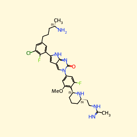 COc1cc(-n2cc3cc(-c4cc(CCC[C@H](C)N)cc(Cl)c4F)[nH]c3nc2=O)cc(F)c1[C@@H]1CCC[C@@H](CCNC(C)=N)N1